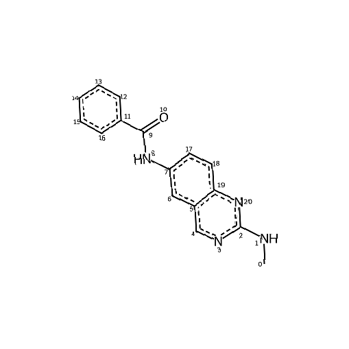 CNc1ncc2cc(NC(=O)c3ccccc3)ccc2n1